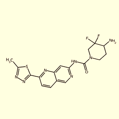 Cc1nnc(-c2ccc3cnc(NC(=O)N4CCC(N)C(F)(F)C4)cc3n2)s1